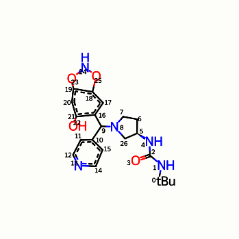 CC(C)(C)NC(=O)N[C@@H]1CCN(C(c2ccncc2)c2cc3c(cc2O)ONO3)C1